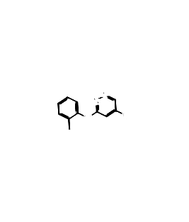 Cc1ccccc1Oc1cc(Cl)cnn1